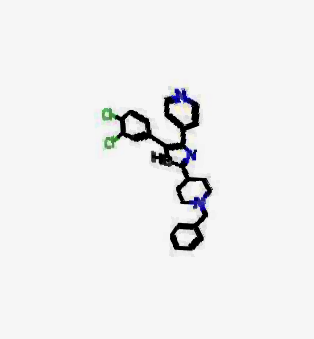 Clc1ccc(C2=C(c3ccncc3)N=C(C3CCN(Cc4ccccc4)CC3)B2)cc1Cl